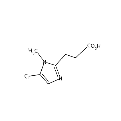 Cn1c(Cl)cnc1CCC(=O)O